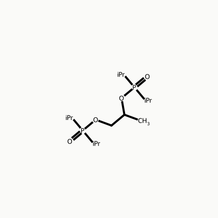 CC(COP(=O)(C(C)C)C(C)C)OP(=O)(C(C)C)C(C)C